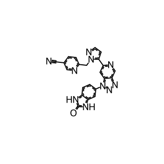 N#Cc1ccc(Cn2nccc2-c2cc3c(cn2)nnn3-c2ccc3[nH]c(=O)[nH]c3c2)nc1